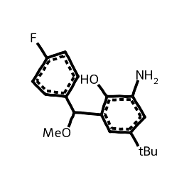 COC(c1ccc(F)cc1)c1cc(C(C)(C)C)cc(N)c1O